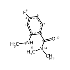 CNc1cc(F)ccc1C(=O)N(C)C